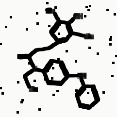 C=C(CCc1cc(C(C)(C)C)c(O)c(C(C)(C)C)c1)N(CC(C)CC)c1ccc(Nc2ccccc2)cc1